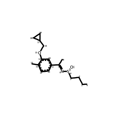 CCCC[S@+]([O-])/N=C(\C)c1ccc(C)c(OCC2CC2)c1